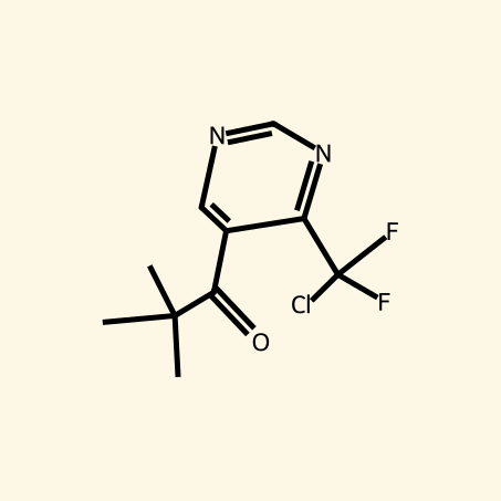 CC(C)(C)C(=O)c1cncnc1C(F)(F)Cl